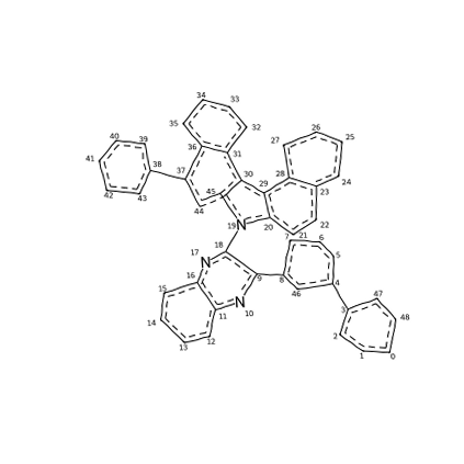 c1ccc(-c2cccc(-c3nc4ccccc4nc3-n3c4ccc5ccccc5c4c4c5ccccc5c(-c5ccccc5)cc43)c2)cc1